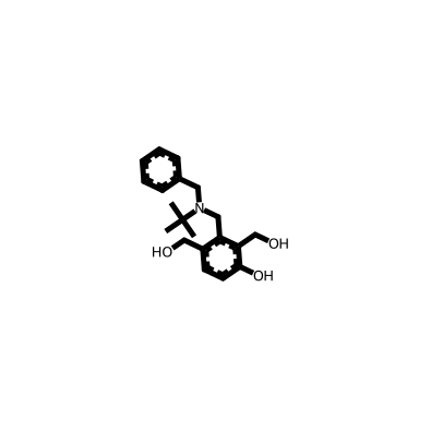 CC(C)(C)N(Cc1ccccc1)Cc1c(CO)ccc(O)c1CO